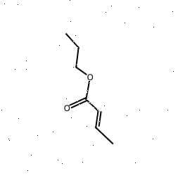 CC=CC(=O)O[CH]CC